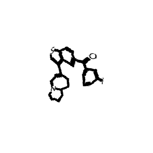 O=C(c1cccc(I)c1)c1ccc2scc(C3=CCN4CCCCC4CC3)c2c1